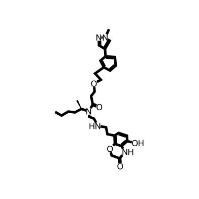 CCCC[C@@H](C)N(CCNCCc1ccc(O)c2c1OCC(=O)N2)C(=O)CCOCCc1cccc(-c2cnn(C)c2)c1